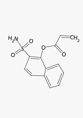 C=CC(=O)Oc1c(S(N)(=O)=O)ccc2ccccc12